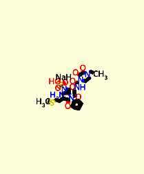 CCN1CCN(C(=O)NCC(=O)[N+](C(=O)[C@@H](N)CCSC)(c2ccccc2)C2CN(S(=O)(=O)O)C2=O)C(=O)C1=O.[NaH]